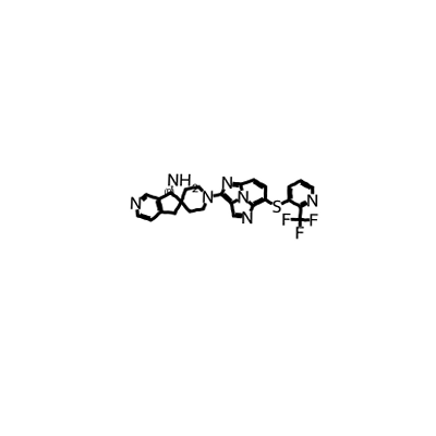 N[C@H]1c2cnccc2CC12CCN(c1nc3ccc(Sc4cccnc4C(F)(F)F)c4ncc1n34)CC2